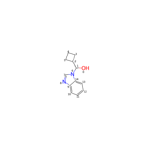 OC(C1CCC1)n1cnc2ccccc21